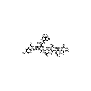 N=C(N)NC(NC(=O)C(NC(=N)N)NC(=O)C(NC(=N)N)NC(=O)C(NC(=N)N)NC(=O)C(NC(=O)Cc1cc(=O)oc2cc(O)ccc12)NC(=O)C(O)Nc1ccc([N+](=O)[O-])c2nonc12)C(N)=O